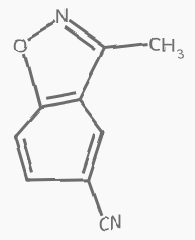 Cc1noc2ccc(C#N)cc12